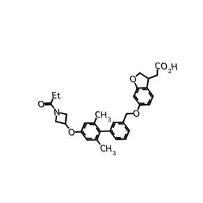 CCC(=O)N1CC(Oc2cc(C)c(-c3cccc(COc4ccc5c(c4)OCC5CC(=O)O)c3)c(C)c2)C1